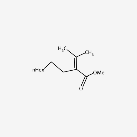 CCCCCCCCC(C(=O)OC)=C(C)C